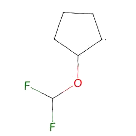 FC(F)OC1[CH]CCC1